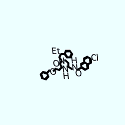 CCC(CN1CCC(CNC(=O)c2ccc3cc(Cl)ccc3c2)NC(CCOCc2ccccc2)C1=O)c1ccccc1